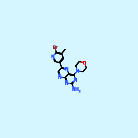 Cc1cc(-c2cnc3nc(N)nc(N4CCOCC4)c3n2)cnc1Br